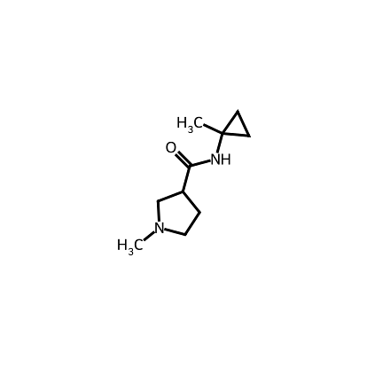 CN1CCC(C(=O)NC2(C)CC2)C1